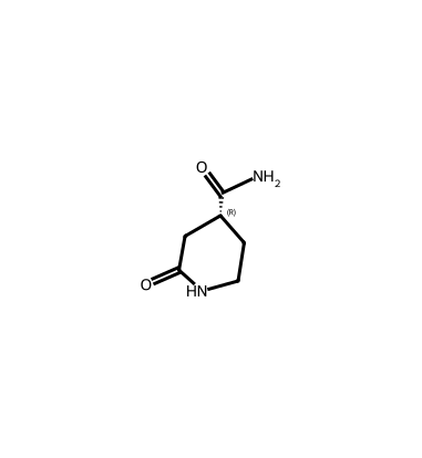 NC(=O)[C@@H]1CCNC(=O)C1